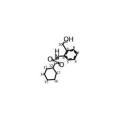 O=S(=O)(Nc1ccccc1CO)C1CCCCC1